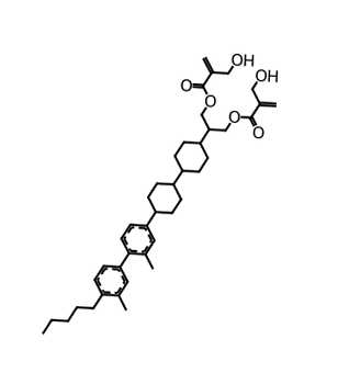 C=C(CO)C(=O)OCC(COC(=O)C(=C)CO)C1CCC(C2CCC(c3ccc(-c4ccc(CCCCC)c(C)c4)c(C)c3)CC2)CC1